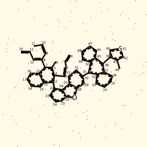 C=C/C=C\c1c(C)c(C(/C=C\C)=C/C=C)c2ccccc2c1-c1cccc2oc3cc(-c4c5ccccc5c(-c5cscc5C)c5ccccc45)ccc3c12